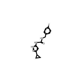 O=C(NCc1ccc(F)cc1)Nc1cc(C2CC2)n[nH]1